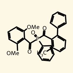 COc1cccc(OC)c1C(=O)P(=O)(C(=O)c1c(C)cccc1-c1ccccc1)c1ccccc1